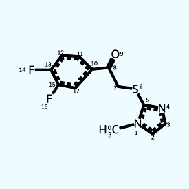 Cn1ccnc1SCC(=O)c1ccc(F)c(F)c1